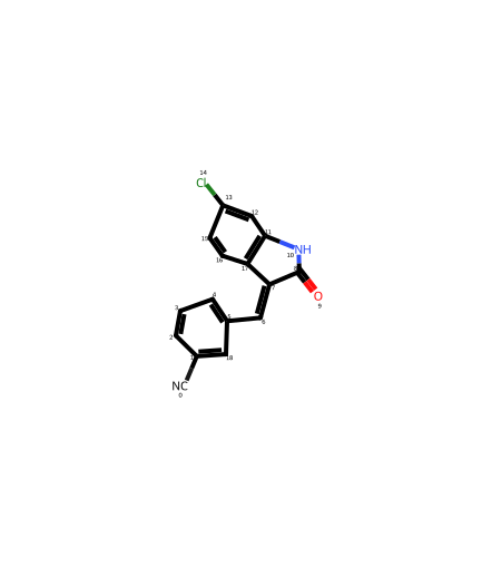 N#Cc1cccc(/C=C2/C(=O)Nc3cc(Cl)ccc32)c1